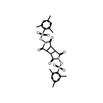 Cc1cc(C)c(S(=O)(=O)ON2C(=O)C3C(C2=O)C2C(=O)N(OS(=O)(=O)c4c(C)cc(C)cc4C)C(=O)C32)c(C)c1